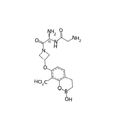 NCC(=O)N[C@H](N)C(=O)N1CC(Oc2ccc3c(c2C(=O)O)OB(O)CC3)C1